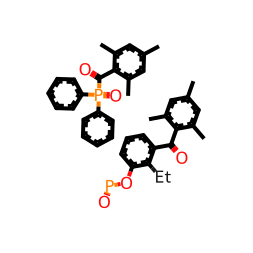 CCc1c(OP=O)cccc1C(=O)c1c(C)cc(C)cc1C.Cc1cc(C)c(C(=O)P(=O)(c2ccccc2)c2ccccc2)c(C)c1